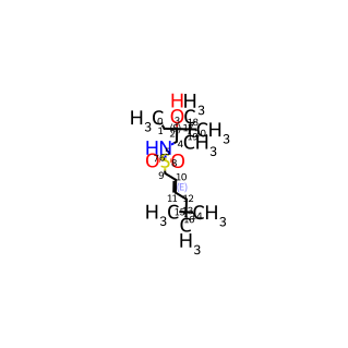 CC[C@@](O)(CNS(=O)(=O)C/C=C/CC(C)(C)C)C(C)(C)C